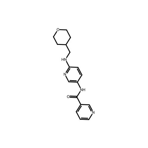 O=C(Nc1ccc(NCC2CCOCC2)nc1)c1cccnc1